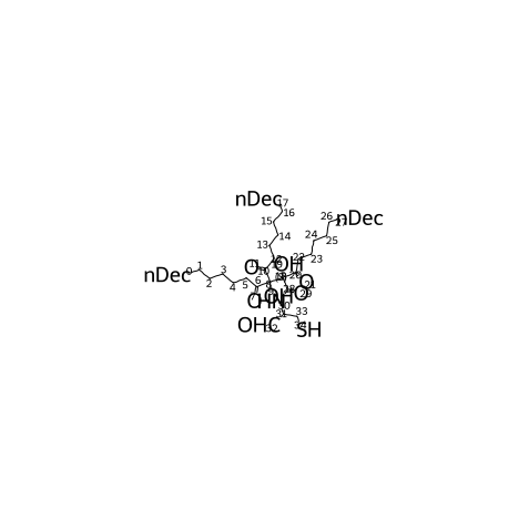 CCCCCCCCCCCCCCCC(=O)C(O)(C(=O)CCCCCCCCCCCCCCC)[C@](O)(C(=O)CCCCCCCCCCCCCCC)C(=O)NC([C]=O)CS